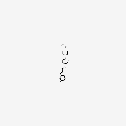 CC(C)(C)OC(=O)N1CCN(c2ccc(NC(=O)c3cc4cc(Br)ccc4s3)cn2)CC1